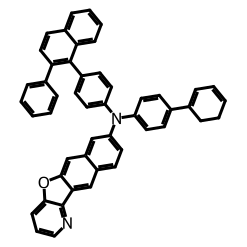 C1=CCCC(c2ccc(N(c3ccc(-c4c(-c5ccccc5)ccc5ccccc45)cc3)c3ccc4cc5c(cc4c3)oc3cccnc35)cc2)=C1